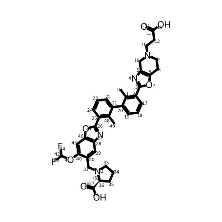 Cc1c(-c2nc3c(o2)CCN(CCC(=O)O)C3)cccc1-c1cccc(-c2nc3cc(CN4CCC[C@H]4C(=O)O)c(OC(F)F)cc3o2)c1C